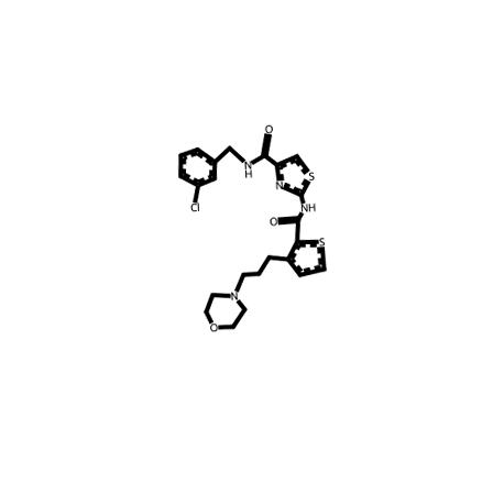 O=C(NCc1cccc(Cl)c1)c1csc(NC(=O)c2sccc2CCCN2CCOCC2)n1